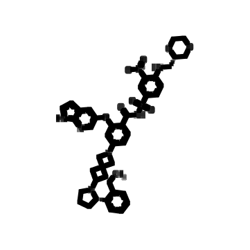 CCc1ccccc1[C@@H]1CCCN1C1CC2(C1)CN(c1ccc(C(=O)NS(=O)(=O)c3ccc(NC[C@H]4COCCO4)c([N+](=O)[O-])c3)c(Oc3cnc4[nH]ccc4c3)c1)C2